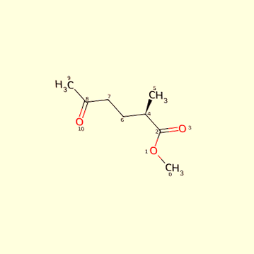 COC(=O)[C@H](C)CCC(C)=O